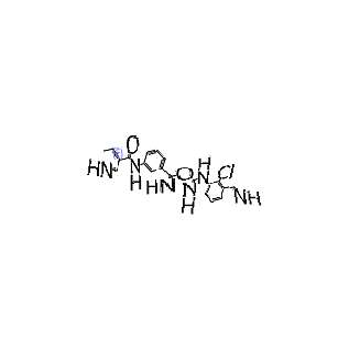 C/C=C(\C=N)C(=O)Nc1cccc(C(=N)OC(=N)Nc2cccc(C=N)c2Cl)c1